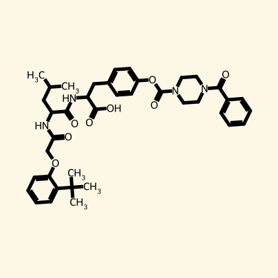 CC(C)CC(NC(=O)COc1ccccc1C(C)(C)C)C(=O)NC(Cc1ccc(OC(=O)N2CCN(C(=O)c3ccccc3)CC2)cc1)C(=O)O